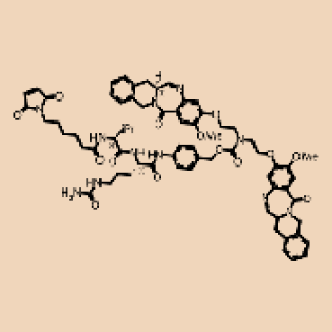 COc1cc2c(cc1OCCN(CCOc1cc3c(cc1OC)C(=O)N1Cc4ccccc4C[C@H]1C=N3)C(=O)OCc1ccc(NC(=O)[C@H](CCCNC(N)=O)NC(=O)[C@@H](NC(=O)CCCCCN3C(=O)C=CC3=O)C(C)C)cc1)N=CC1Cc3ccccc3CN1C2=O